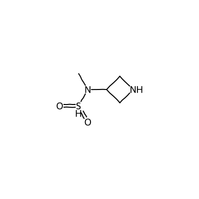 CN(C1CNC1)[SH](=O)=O